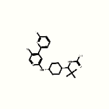 CC(C)(C)C(NC(=O)O)[C@H]1CC[C@H](Nc2cc(-c3cccc(F)n3)c(Cl)cn2)CC1